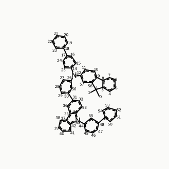 CC1(C)c2ccccc2-c2ccc(N(c3ccc(-c4ccccc4)cc3)c3cccc(-c4ccc5c(c4)c4ccccc4n5-c4cccc(-c5ccccc5)c4)c3)cc21